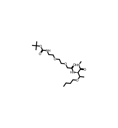 CCCCOC(C)[C@@H](NC(=O)COCCOCCNC(=O)OC(C)(C)C)C(=O)NC